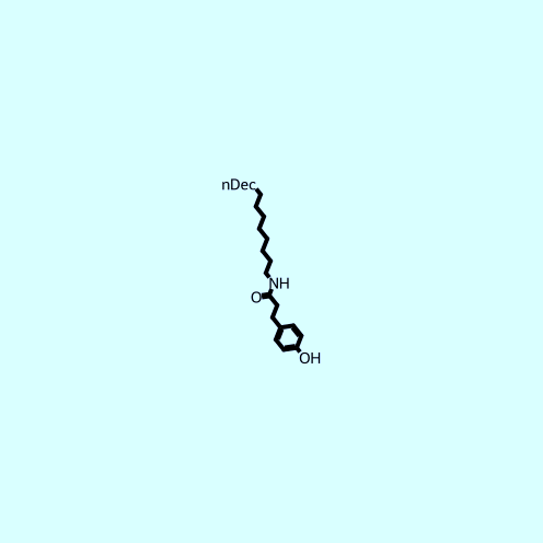 CCCCCCCCCCCCCCCCCCNC(=O)CCc1ccc(O)cc1